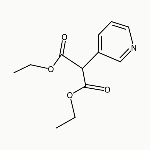 CCOC(=O)C(C(=O)OCC)c1cccnc1